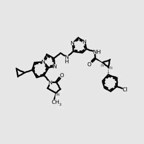 C[C@@H]1CC(=O)N(c2cc(C3CC3)cn3cc(CNc4cc(NC(=O)[C@H]5C[C@@H]5c5cccc(Cl)c5)ncn4)nc23)C1